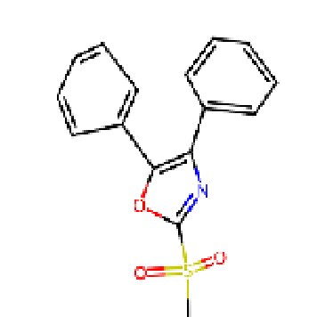 CS(=O)(=O)c1nc(-c2ccccc2)c(-c2ccccc2)o1